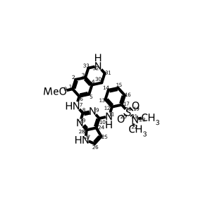 COc1cc2c(cc1Nc1nc(Nc3ccccc3S(=O)(=O)N(C)C)c3cc[nH]c3n1)CCNC2